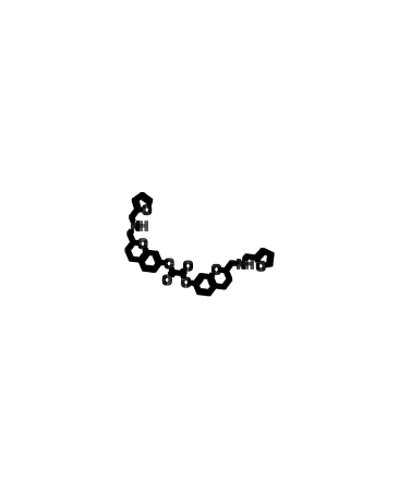 O=C(Oc1ccc2c(c1)OC(CNCc1ccco1)CC2)C(=O)Oc1ccc2c(c1)OC(CNCc1ccco1)CC2